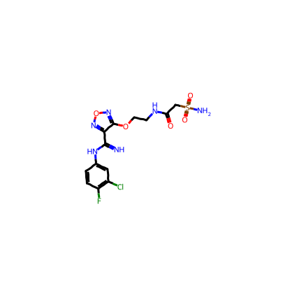 N=C(Nc1ccc(F)c(Cl)c1)c1nonc1OCCNC(=O)CS(N)(=O)=O